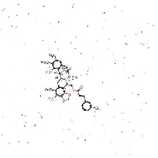 COc1c(C)cc2c(c1O)[C@@H]1[C@@H]3Cc4c(OC(C)=O)c(C)c5c(c4[C@H](CNC(=O)/C=C/c4cccc(C(F)(F)F)c4)N3[C@@H](C#N)[C@@H](C2)N1C)OCO5